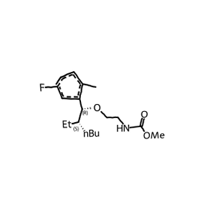 CCCC[C@H](CC)[C@@H](OCCNC(=O)OC)c1cc(F)ccc1C